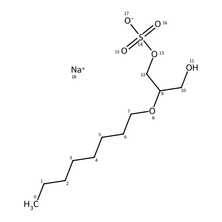 CCCCCCCCOC(CO)COS(=O)(=O)[O-].[Na+]